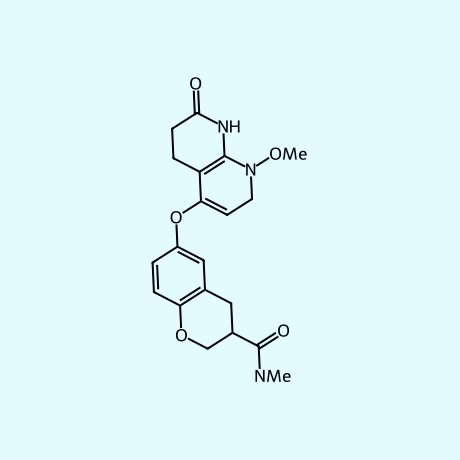 CNC(=O)C1COc2ccc(OC3=CCN(OC)C4=C3CCC(=O)N4)cc2C1